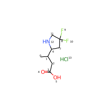 CC(CC(=O)O)C1CC(F)(F)CN1.Cl